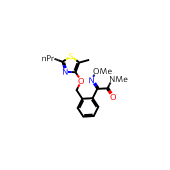 CCCc1nc(OCc2ccccc2C(=NOC)C(=O)NC)c(C)s1